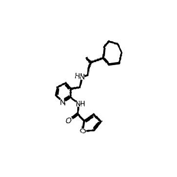 CC(CNCc1cccnc1NC(=O)c1ccco1)C1CCCCCC1